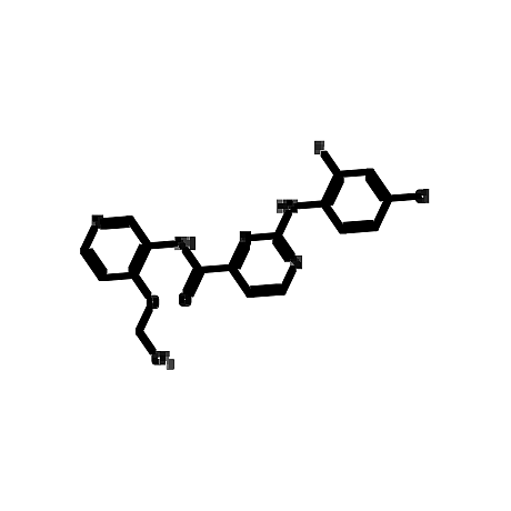 O=C(Nc1cnccc1OCC(F)(F)F)c1ccnc(Nc2ccc(Cl)cc2F)n1